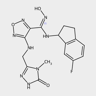 Cn1c(CNc2nonc2/C(=N\O)NC2CCc3ccc(F)cc32)n[nH]c1=O